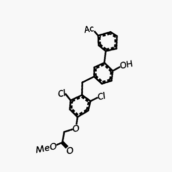 COC(=O)COc1cc(Cl)c(Cc2ccc(O)c(-c3cccc(C(C)=O)c3)c2)c(Cl)c1